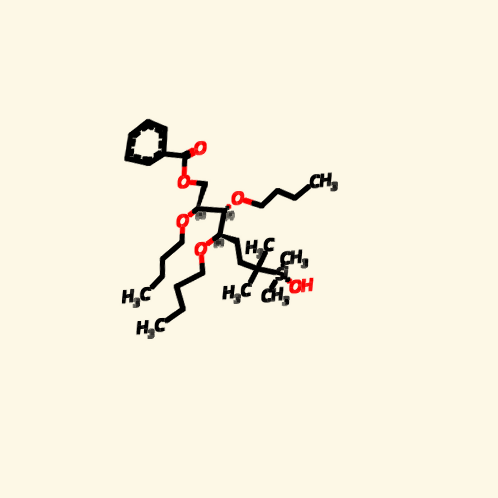 CCCCO[C@@H]([C@H](COC(=O)c1ccccc1)OCCCC)[C@@H](CCC(C)(C)[Si](C)(C)O)OCCCC